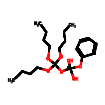 CCCCO[Si](OCCCC)(OCCCC)[O][Ti]([OH])([OH])[O]c1ccccc1